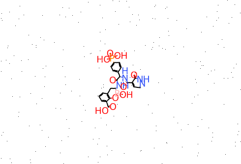 O=C(O)c1cccc2c1OB(O)[C@@H](NC(=O)[C@H](NC(=O)c1ccn[nH]c1=O)c1ccc(P(=O)(O)O)cc1)C2